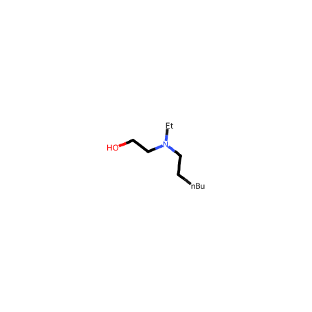 [CH2]CCCCCN(CC)CCO